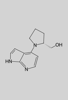 OC[C@H]1CCCN1c1ccnc2[nH]ccc12